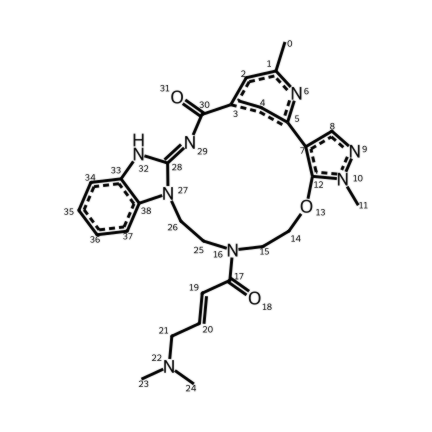 Cc1cc2cc(n1)-c1cnn(C)c1OCCN(C(=O)/C=C/CN(C)C)CCN1/C(=N/C2=O)Nc2ccccc21